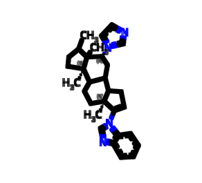 CC1CC[C@]2(C)C3CC[C@]4(C)C(n5cnc6ccccc65)=CCC4C3C[C@@H](n3ccnc3)C12C